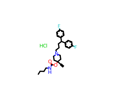 C#CC1(OC(=O)NCCCC)CCN(CCCC(c2ccc(F)cc2)c2ccc(F)cc2)CC1.Cl